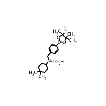 CC1(C)CCC(N(Cc2ccc(B3OC(C)(C)C(C)(C)O3)cc2)C(=O)O)CC1